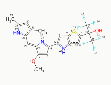 COC1=CC(c2cc3sc(C(O)(C(F)(F)F)C(F)(F)F)cc3[nH]2)=N/C1=C\c1[nH]c(C)cc1C